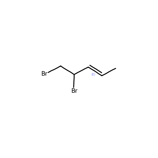 C/C=C/C(Br)CBr